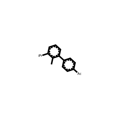 CC(=O)c1ccc(-c2cccc(C(C)C)c2C)cc1